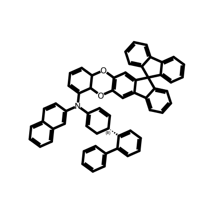 C1=CC2Oc3cc4c(cc3OC2C(N(C2=CC[C@@H](c3ccccc3-c3ccccc3)C=C2)c2ccc3ccccc3c2)=C1)-c1ccccc1C41c2ccccc2-c2ccccc21